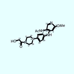 COc1cc(Nc2ccc(N3CCN(C(=O)CO)CC3)cc2)c(NC(C)=O)cn1